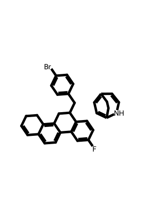 C1=CC2=CC=C(CC2)N1.Fc1ccc2c(c1)-c1ccc3c(c1CC2Cc1ccc(Br)cc1)CCC=C3